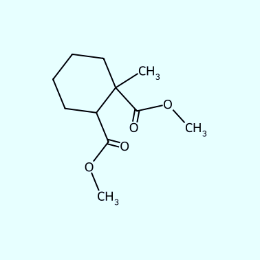 COC(=O)C1CCCCC1(C)C(=O)OC